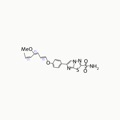 C\C=C/C(=C\C=C\Oc1ccc(-c2cn3nc(S(N)(=O)=O)sc3n2)cc1)OC